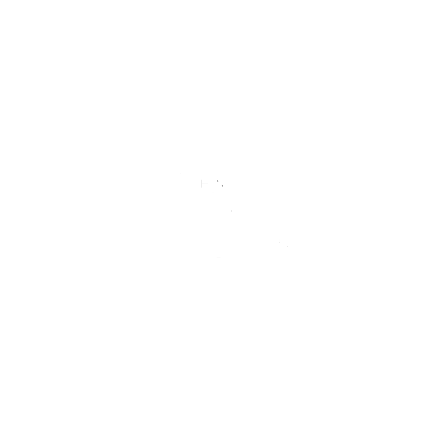 CCCCC(CC)C(C)(N)CC1CCC1